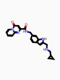 O=C(NCc1ccc2cc(CNCC3CC3)[nH]c2c1)c1cc(=O)n2ccccc2n1